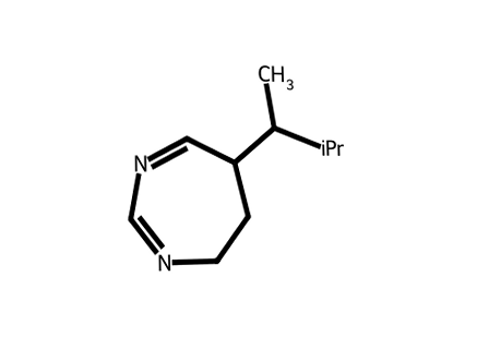 CC(C)C(C)C1C=NC=NCC1